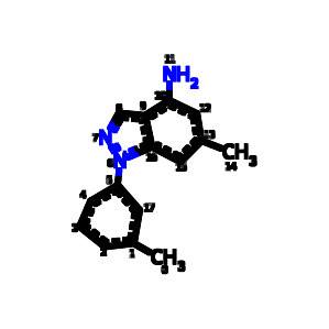 Cc1cccc(-n2ncc3c(N)cc(C)cc32)c1